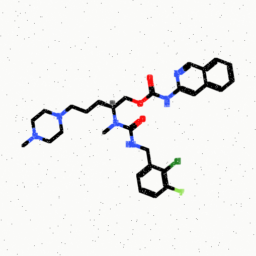 CN1CCN(CCC[C@@H](COC(=O)Nc2cc3ccccc3cn2)N(C)C(=O)NCc2cccc(F)c2Cl)CC1